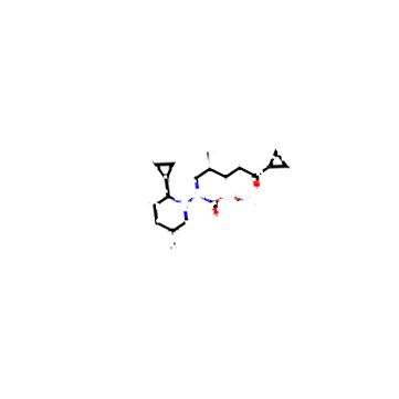 C[C@@H](CCC(=O)C1CC1)CN(C(=O)OC(C)(C)C)N1C[C@@H](C)CCC1C1CC1